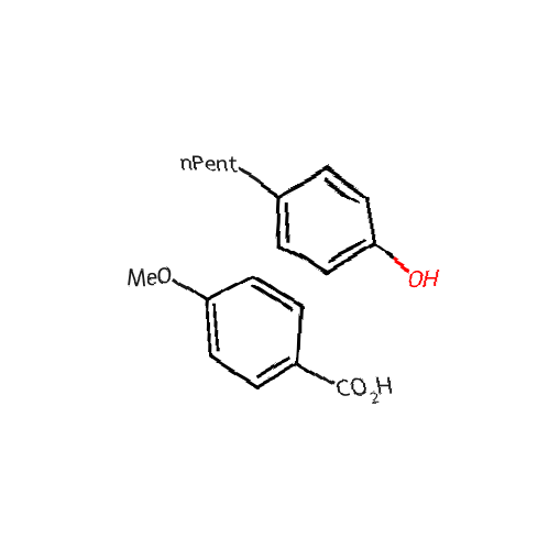 CCCCCc1ccc(O)cc1.COc1ccc(C(=O)O)cc1